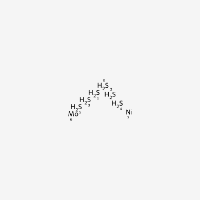 S.S.S.S.S.S.[Mo].[Ni]